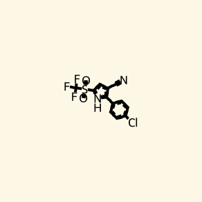 N#Cc1cc(S(=O)(=O)C(F)(F)F)[nH]c1-c1ccc(Cl)cc1